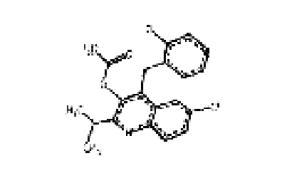 CC(C)c1nc2ccc(Cl)cc2c(Cc2ccccc2Cl)c1OC(=O)O